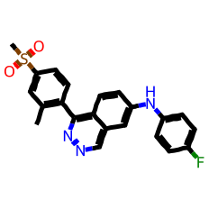 Cc1cc(S(C)(=O)=O)ccc1-c1nncc2cc(Nc3ccc(F)cc3)ccc12